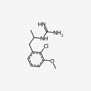 COc1cccc(CC(C)NC(=N)N)c1Cl